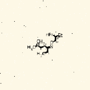 C=C/C(CCN(C)C)=N/OCC(CC)CCC